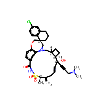 C=C1C/C=C/[C@](O)(C#CCN(C)C)[C@@H]2CC[C@H]2CN2C[C@@]3(CCCc4cc(Cl)ccc43)COc3ccc(cc32)C(=O)NS(=O)(=O)[C@@H]1C